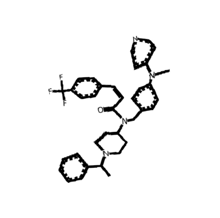 CC(c1ccccc1)N1CCC(N(Cc2ccc(N(C)c3ccncc3)cc2)C(=O)C=Cc2ccc(C(F)(F)F)cc2)CC1